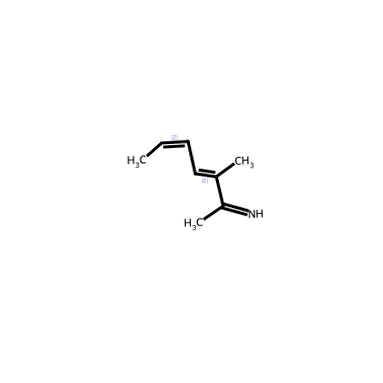 C/C=C\C=C(/C)C(C)=N